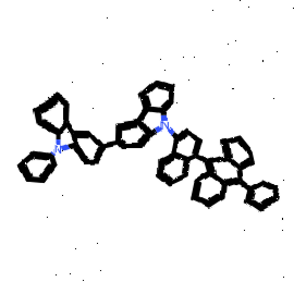 c1ccc(-c2c3ccccc3c(-c3ccc(-n4c5ccccc5c5cc(-c6ccc7c(c6)c6ccccc6n7-c6ccccc6)ccc54)c4ccccc34)c3ccccc23)cc1